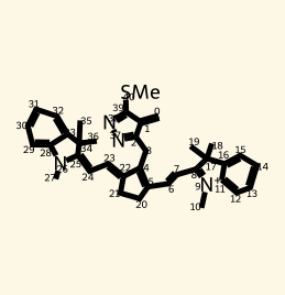 C=C1C(CC2=C(/C=C/C3=[N+](C)c4ccccc4C3(C)C)CC/C2=C\C=C2\N(C)c3ccccc3C2(C)C)=NN=C1SC